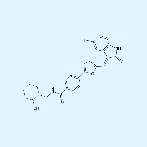 CN1CCCCC1CNC(=O)c1ccc(-c2ccc(/C=C3/C(=O)Nc4ccc(F)cc43)o2)cc1